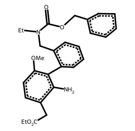 CCOC(=O)Cc1ccc(OC)c(-c2ccccc2CN(CC)C(=O)OCc2ccccc2)c1N